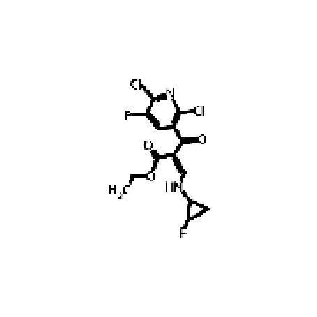 CCOC(=O)C(=CNC1CC1F)C(=O)c1cc(F)c(Cl)nc1Cl